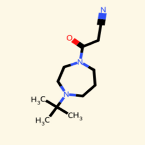 CC(C)(C)N1CCCN(C(=O)CC#N)CC1